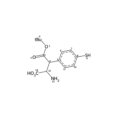 CC(C)(C)OC(=O)C(c1ccc(S)cc1)C(N)C(=O)O